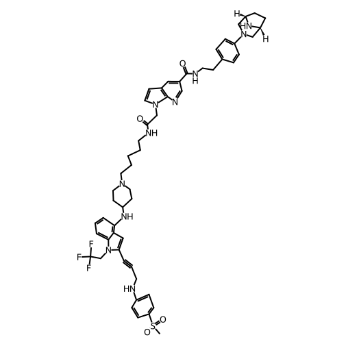 CS(=O)(=O)c1ccc(NCC#Cc2cc3c(NC4CCN(CCCCCNC(=O)Cn5ccc6cc(C(=O)NCCc7ccc(N8C[C@H]9CC[C@@H](C8)N9)cc7)cnc65)CC4)cccc3n2CC(F)(F)F)cc1